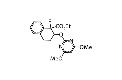 CCOC(=O)C1(F)c2ccccc2CCC1Oc1nc(OC)cc(OC)n1